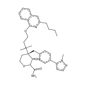 CCCCc1cc2ccccc2c(OCC[N+](C)(C)[C@@]2(Cc3ccc(-c4ccnn4C)cc3)CCOC(C(N)=O)[C@@H]2O)n1